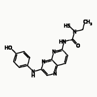 CCN(S)C(=O)Nc1ccc2ncc(Nc3ccc(O)cc3)nc2n1